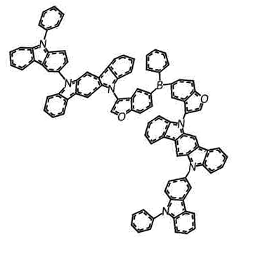 c1ccc(B(c2ccc3occ(-n4c5ccccc5c5cc6c(cc54)c4ccccc4n6-c4ccc5c(c4)c4ccccc4n5-c4ccccc4)c3c2)c2ccc3occ(-n4c5ccccc5c5cc6c(cc54)c4ccccc4n6-c4ccc5c(c4)c4ccccc4n5-c4ccccc4)c3c2)cc1